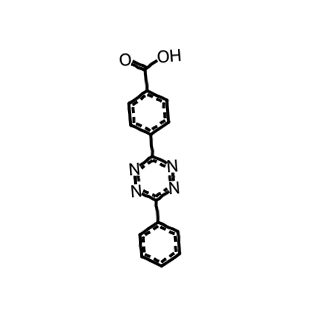 O=C(O)c1ccc(-c2nnc(-c3ccccc3)nn2)cc1